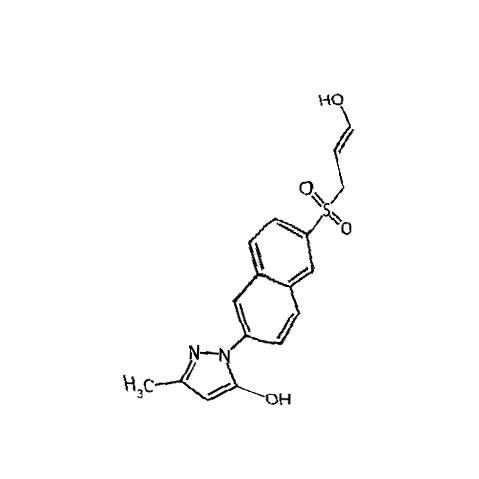 Cc1cc(O)n(-c2ccc3cc(S(=O)(=O)CC=CO)ccc3c2)n1